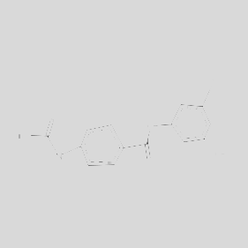 CC(C)C(=O)Nc1ccc(C(=O)Oc2cc(O)cc(Cl)c2)cc1